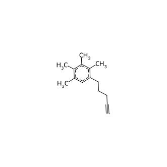 [C]#CCCCc1cc(C)c(C)c(C)c1C